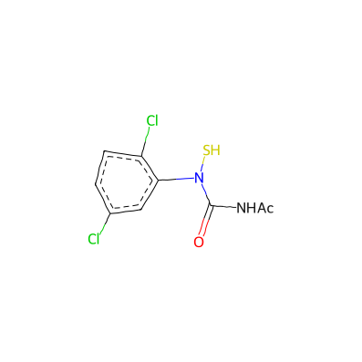 CC(=O)NC(=O)N(S)c1cc(Cl)ccc1Cl